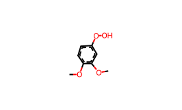 COc1ccc(OO)cc1OC